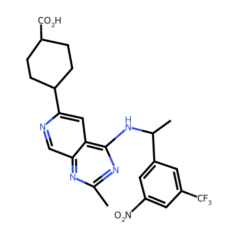 Cc1nc(NC(C)c2cc([N+](=O)[O-])cc(C(F)(F)F)c2)c2cc(C3CCC(C(=O)O)CC3)ncc2n1